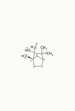 CC1(C)C2CC[C@@](C)(C2)[C@@]1(C)O